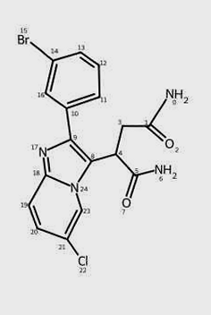 NC(=O)CC(C(N)=O)c1c(-c2cccc(Br)c2)nc2ccc(Cl)cn12